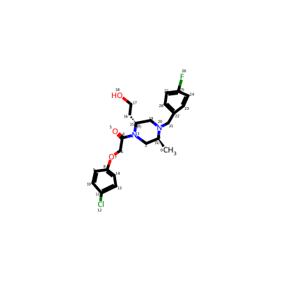 C[C@H]1CN(C(=O)COc2ccc(Cl)cc2)[C@H](CCO)CN1Cc1ccc(F)cc1